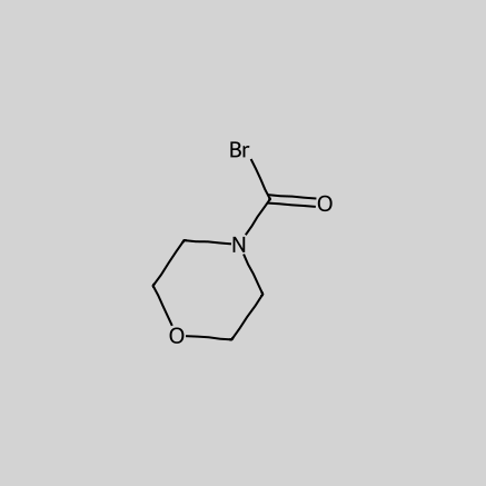 O=C(Br)N1CCOCC1